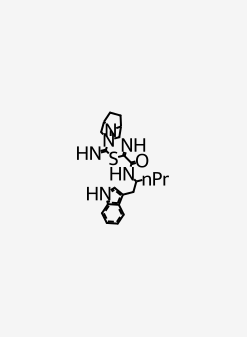 CCCC(Cc1c[nH]c2ccccc12)NC(=O)C(=N)SC(=N)N1CC2CCC(C1)N2C